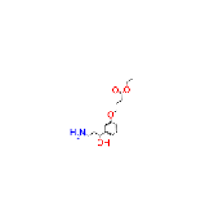 CCOC(=O)CCCOc1cccc(C(O)CCN)c1